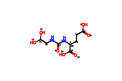 O=C(O)CC[C@H](NC(=O)NCC(O)O)C(=O)O